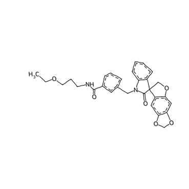 CCOCCCNC(=O)c1cccc(CN2C(=O)C3(COc4cc5c(cc43)OCO5)c3ccccc32)c1